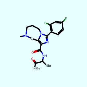 CNC(=O)C(NC(=O)c1nc(-c2ccc(F)cc2F)n2c1CN(C)CCC2)C(C)(C)C